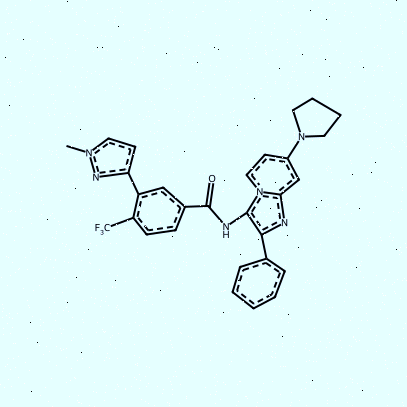 Cn1ccc(-c2cc(C(=O)Nc3c(-c4ccccc4)nc4cc(N5CCCC5)ccn34)ccc2C(F)(F)F)n1